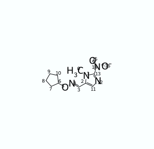 Cn1c(C=NOC2CCCC2)cnc1[N+](=O)[O-]